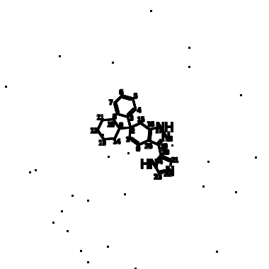 C1=CC(c2ccccc2)(C2CCCCC2)Cc2[nH]nc(-c3cnc[nH]3)c21